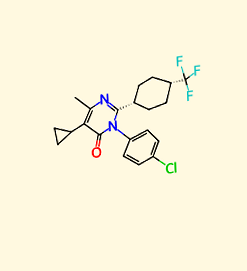 Cc1nc([C@H]2CC[C@@H](C(F)(F)F)CC2)n(-c2ccc(Cl)cc2)c(=O)c1C1CC1